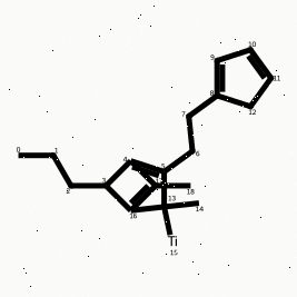 CCCC1C2=C(CCC3=CC=CC3)[C](C)([Ti])C1=C2C